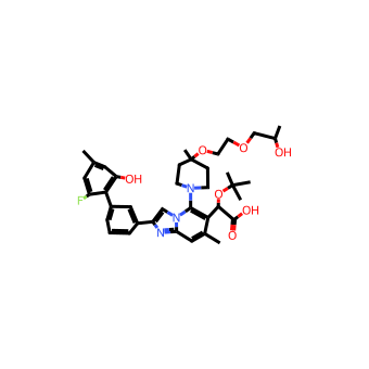 Cc1cc(O)c(-c2cccc(-c3cn4c(N5CCC(C)(OCCOCC(C)O)CC5)c(C(OC(C)(C)C)C(=O)O)c(C)cc4n3)c2)c(F)c1